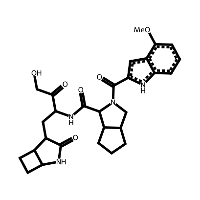 COc1cccc2[nH]c(C(=O)N3CC4CCCC4C3C(=O)NC(CC3C(=O)NC4CCC43)C(=O)CO)cc12